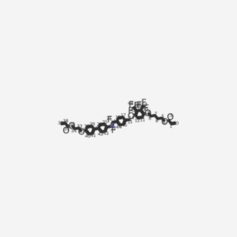 C=CC(=O)OCCCCOc1ccc(OCc2ccc(/C(F)=C(\F)c3ccc(-c4ccc(OCCOC(=O)C=C)cc4)cc3)cc2)c(C(F)(F)F)c1C(F)(F)F